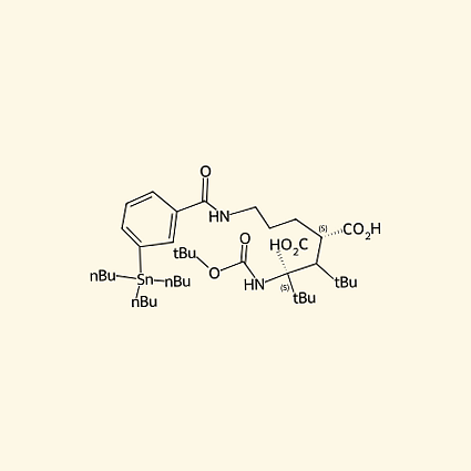 CCC[CH2][Sn]([CH2]CCC)([CH2]CCC)[c]1cccc(C(=O)NCCC[C@H](C(=O)O)C(C(C)(C)C)[C@@](NC(=O)OC(C)(C)C)(C(=O)O)C(C)(C)C)c1